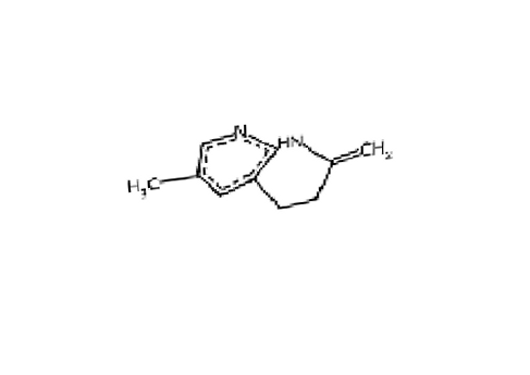 C=C1CCc2cc(C)cnc2N1